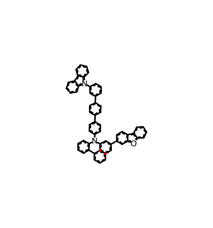 c1ccc(-c2ccccc2N(c2ccc(-c3ccc(-c4cccc(-n5c6ccccc6c6ccccc65)c4)cc3)cc2)c2cccc(-c3ccc4c(c3)oc3ccccc34)c2)cc1